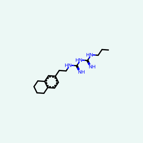 CCCNC(=N)NC(=N)NCCc1ccc2c(c1)CCCC2